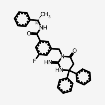 C[C@H](NC(=O)c1cc(F)cc(CN2C(=N)NC(c3ccccc3)(c3ccccc3)CC2=O)c1)c1ccccc1